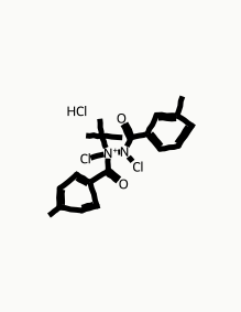 Cc1ccc(C(=O)[N+](Cl)(N(Cl)C(=O)c2cccc(C)c2)C(C)(C)C)cc1.Cl